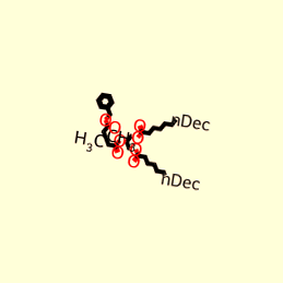 CCCCCCCCCCCCCCCC(=O)OCC(COC(=O)CCCCCCCCCCCCCCC)OC(=O)CC(C)(C)CC(=O)OCc1ccccc1